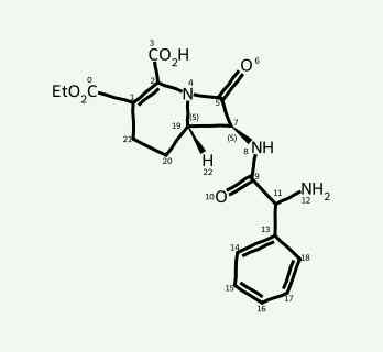 CCOC(=O)C1=C(C(=O)O)N2C(=O)[C@@H](NC(=O)C(N)c3ccccc3)[C@@H]2CC1